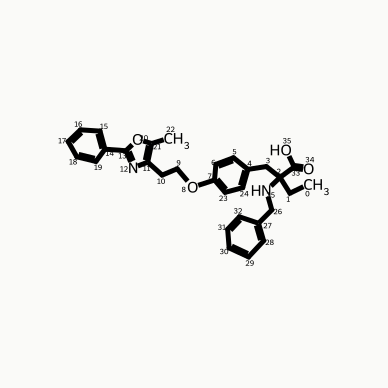 CCC(Cc1ccc(OCCc2nc(-c3ccccc3)oc2C)cc1)(NCc1ccccc1)C(=O)O